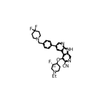 CCN1CCC(Oc2c(C#N)ncc3[nH]c4ncc(-c5ccc(CN6CCC(F)(F)CC6)cc5)cc4c23)[C@@H](F)C1